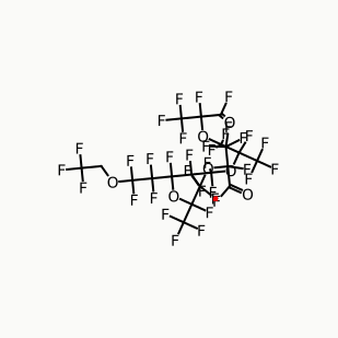 O=C(F)C(F)(OC(F)(F)C(F)(OC(F)(F)C(F)(F)C(F)(OC(F)(C(F)(F)F)C(F)(F)OC(F)(C(=O)F)C(F)(F)F)C(F)(F)C(F)(F)OCC(F)(F)F)C(F)(F)F)C(F)(F)F